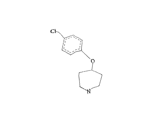 Clc1ccc(OC2CC[N]CC2)cc1